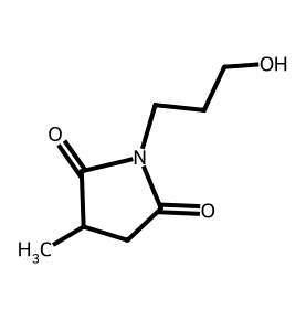 CC1CC(=O)N(CCCO)C1=O